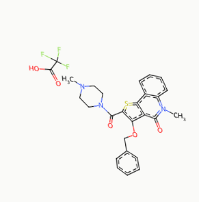 CN1CCN(C(=O)c2sc3c(c2OCc2ccccc2)c(=O)n(C)c2ccccc32)CC1.O=C(O)C(F)(F)F